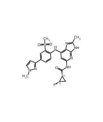 Cc1nc2c(Nc3ccc(-c4ccn(C)n4)cc3S(C)(=O)=O)cc(NC(=O)[C@H]3C[C@H]3F)nc2[nH]1